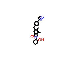 Cc1c(Cc2ccc(-c3ccn(C)n3)cc2)cc2c(c1C)CN(C1CCCCC1O)C2=O